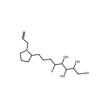 C=CCN1CCCC1CCCC(F)C(O)C(O)C(O)CO